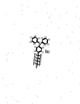 FC(F)(F)C(F)(F)C(F)(F)C(F)(F)c1ccc([S+](c2ccccc2)c2ccccc2)cc1.[Br-]